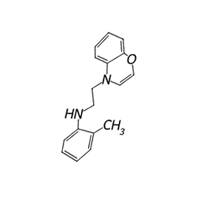 Cc1ccccc1NCCN1C=COc2ccccc21